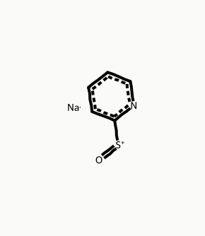 O=[S+]c1ccccn1.[Na]